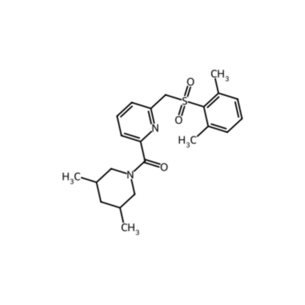 Cc1cccc(C)c1S(=O)(=O)Cc1cccc(C(=O)N2CC(C)CC(C)C2)n1